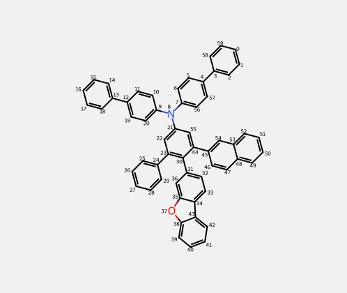 c1ccc(-c2ccc(N(c3ccc(-c4ccccc4)cc3)c3cc(-c4ccccc4)c(-c4ccc5c(c4)oc4ccccc45)c(-c4ccc5ccccc5c4)c3)cc2)cc1